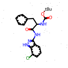 CC(C)(C)OC(=O)NC(Cc1ccccc1)C(=O)Nc1n[nH]c2c(Cl)cccc12